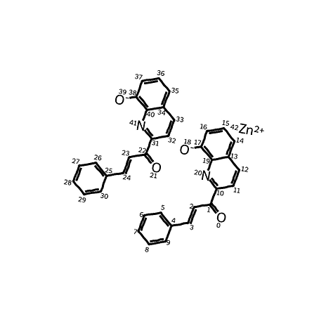 O=C(/C=C/c1ccccc1)c1ccc2cccc([O-])c2n1.O=C(/C=C/c1ccccc1)c1ccc2cccc([O-])c2n1.[Zn+2]